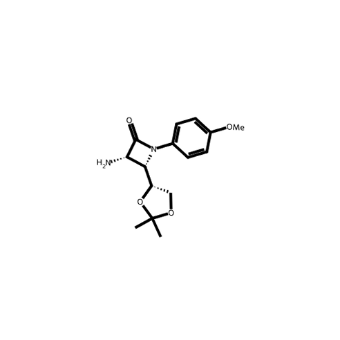 COc1ccc(N2C(=O)[C@@H](N)[C@H]2[C@@H]2COC(C)(C)O2)cc1